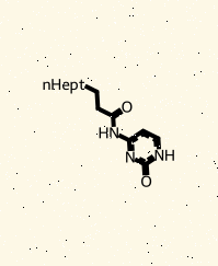 CCCCCCCCCC(=O)Nc1cc[nH]c(=O)n1